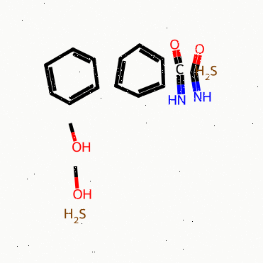 CO.CO.N=C=O.N=C=O.S.S.c1ccccc1.c1ccccc1